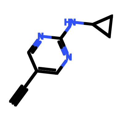 C#Cc1cnc(NC2CC2)nc1